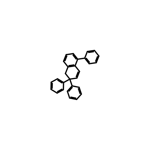 C1=CC(c2ccccc2)(c2ccccc2)Cc2cccc(-c3ccccc3)c21